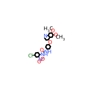 COc1cc2nccc(Oc3ccc(NC(=O)Nc4ccc(Cl)cc4[N+](=O)[O-])cc3)c2cc1OC